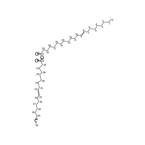 CCCCCCCCC=CCCCCCCCCCCCC(=O)OC(=O)CCCCCCCC=CCCCCCCCC